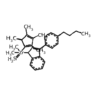 CCCCc1ccc(C2=C[CH]([Zr]([CH3])([CH3])(=[SiH2])[C]3=C(C)C(C)=C(C)C3C)c3ccccc32)cc1